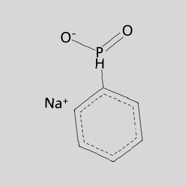 O=[PH]([O-])c1ccccc1.[Na+]